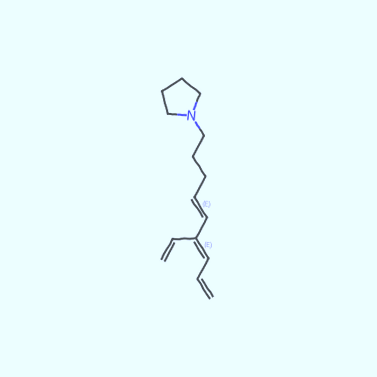 C=C/C=C(C=C)/C=C/CCCN1CCCC1